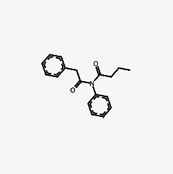 CCCC(=O)N(C(=O)Cc1ccccc1)c1cc[c]cc1